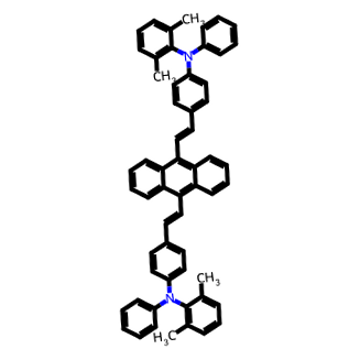 Cc1cccc(C)c1N(c1ccccc1)c1ccc(C=Cc2c3ccccc3c(C=Cc3ccc(N(c4ccccc4)c4c(C)cccc4C)cc3)c3ccccc23)cc1